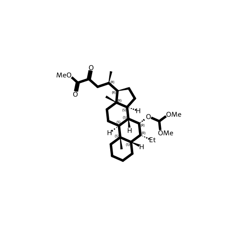 CC[C@H]1[C@@H](OC(OC)OC)[C@@H]2[C@H](CC[C@]3(C)[C@@H]([C@H](C)CC(=O)C(=O)OC)CC[C@@H]23)[C@@]2(C)CCCC[C@@H]12